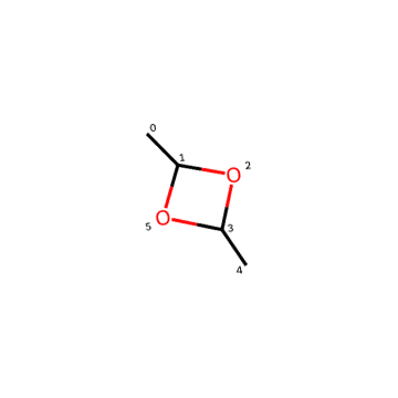 CC1OC(C)O1